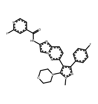 Cn1nc(-c2ccc(F)cc2)c(-c2ccc3nc(NC(=O)c4ccnc(F)c4)cn3n2)c1N1CCOCC1